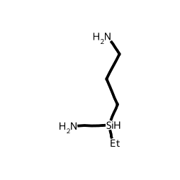 CC[SiH](N)CCCN